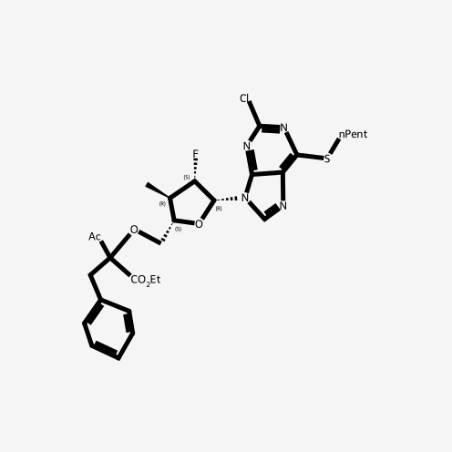 CCCCCSc1nc(Cl)nc2c1ncn2[C@@H]1O[C@H](COC(Cc2ccccc2)(C(C)=O)C(=O)OCC)[C@@H](C)[C@@H]1F